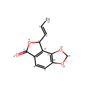 CCC=CC1OC(=O)c2ccc3c(c21)OCO3